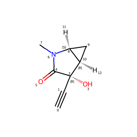 C#C[C@@]1(O)C(=O)N(C)[C@H]2C[C@H]21